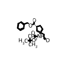 CC(C)(C)OC(=O)NC1(CC=O)CC[C@@H](C(=O)OCc2ccccc2)C1